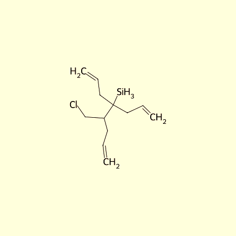 C=CCC(CCl)C([SiH3])(CC=C)CC=C